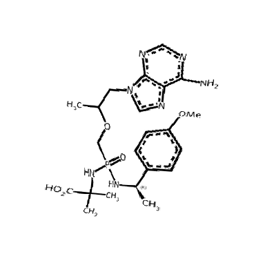 COc1ccc([C@@H](C)NP(=O)(COC(C)Cn2cnc3c(N)ncnc32)NC(C)(C)C(=O)O)cc1